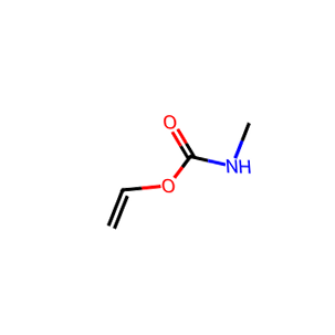 C=COC(=O)NC